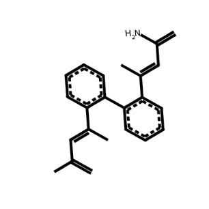 C=C(C)/C=C(\C)c1ccccc1-c1ccccc1/C(C)=C/C(=C)N